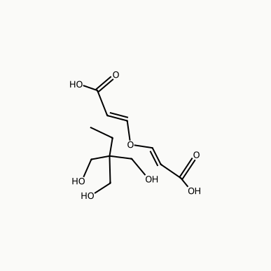 CCC(CO)(CO)CO.O=C(O)C=COC=CC(=O)O